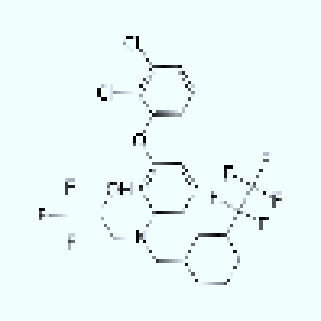 OC(CN(CC1CCCC(C(F)(F)C(F)(F)F)C1)c1cccc(Oc2cccc(Cl)c2Cl)c1)C(F)(F)F